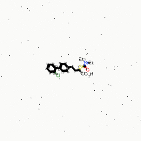 CCN(CC)C(=O)SC(CCc1ccc(-c2ccccc2Cl)cc1)C(=O)O